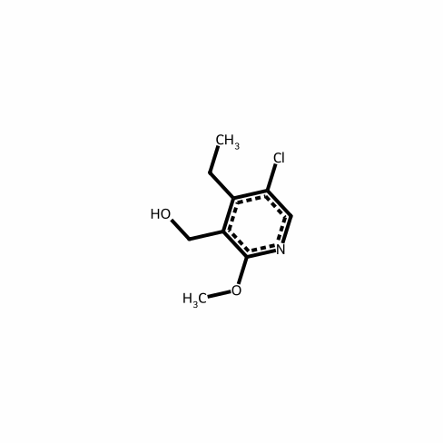 CCc1c(Cl)cnc(OC)c1CO